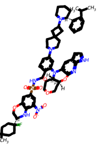 CC(C)c1ccccc1[C@H]1CCCCN1C1CC2(CCN(c3ccc(C(=O)NS(=O)(=O)c4cc5c(c([N+](=O)[O-])c4)N[C@H](C4(F)CCC(C)(O)CC4)CO5)c(N4c5cc6cc[nH]c6nc5O[C@H]5COCC[C@@H]54)c3)CC2)C1